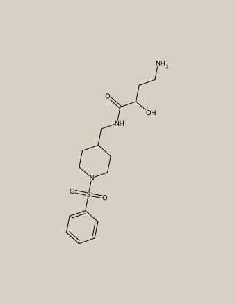 NCCC(O)C(=O)NCC1CCN(S(=O)(=O)c2ccccc2)CC1